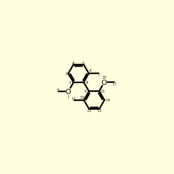 COc1cccc(C)c1-c1c(C)cccc1OC